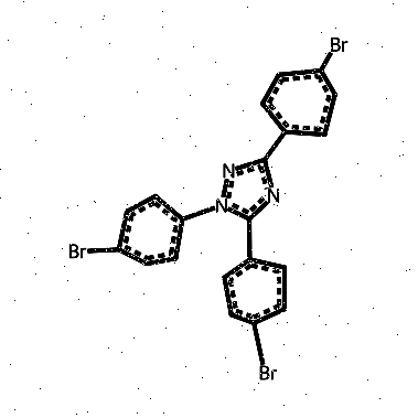 Brc1ccc(-c2nc(-c3ccc(Br)cc3)n(-c3ccc(Br)cc3)n2)cc1